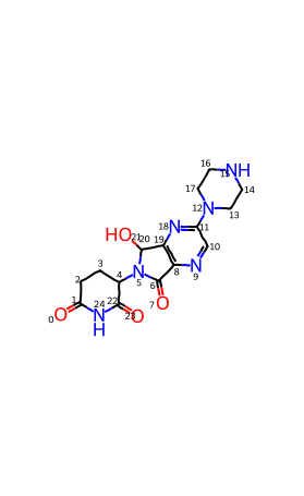 O=C1CCC(N2C(=O)c3ncc(N4CCNCC4)nc3C2O)C(=O)N1